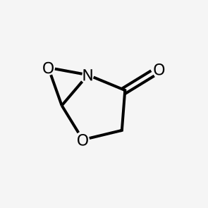 O=C1COC2ON12